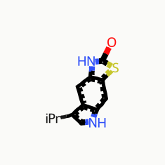 CC(C)c1c[nH]c2cc3sc(=O)[nH]c3cc12